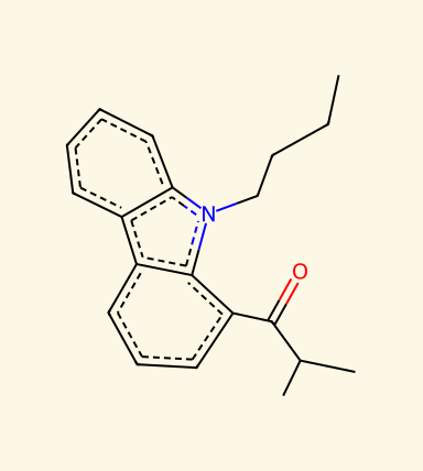 CCCCn1c2ccccc2c2cccc(C(=O)C(C)C)c21